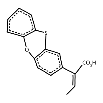 C/C=C(/C(=O)O)c1ccc2c(c1)Sc1ccccc1O2